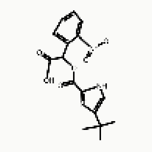 CC(C)(C)c1c[nH]c(C(=O)OC(C(=O)O)c2ccccc2[N+](=O)[O-])n1